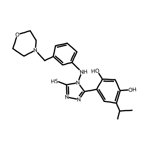 CC(C)c1cc(-c2nnc(S)n2Nc2cccc(CN3CCOCC3)c2)c(O)cc1O